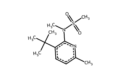 Cc1ccc(C(C)(C)C)c(N(C)S(C)(=O)=O)n1